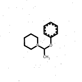 CC(Oc1ccccc1)N1CCCCC1